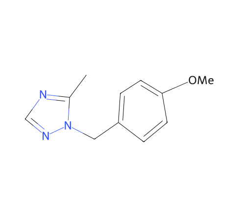 COc1ccc(Cn2ncnc2C)cc1